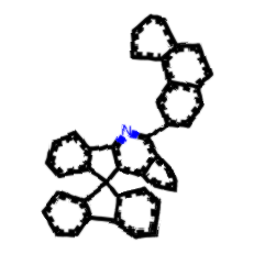 c1ccc2c(c1)-c1ccccc1C21c2ccccc2-c2nc(-c3ccc4ccc5ccccc5c4c3)c3ccccc3c21